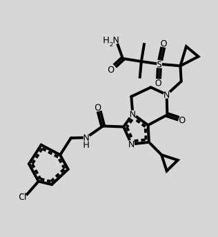 CC(C)(C(N)=O)S(=O)(=O)C1(CN2CCn3c(C(=O)NCc4ccc(Cl)cc4)nc(C4CC4)c3C2=O)CC1